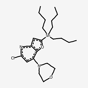 CCC[CH2][Sn]([CH2]CCC)([CH2]CCC)[c]1cc2nc(Cl)cc(N3CCOCC3)c2o1